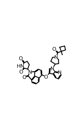 CC1(C(=O)N2CCC(n3cc(Oc4ccc5c6c(cccc46)C(=O)N5C4CCC(=O)NC4=O)c4cccnc43)CC2)CCC1